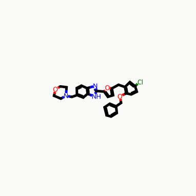 Clc1ccc(OCc2ccccc2)c(Cc2ccc(-c3nc4ccc(CN5CCOCC5)cc4[nH]3)o2)c1